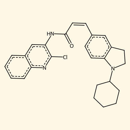 O=C(/C=C\c1ccc2c(c1)CCN2C1CCCCC1)Nc1cc2ccccc2nc1Cl